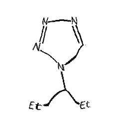 CCC(CC)n1[c]nnn1